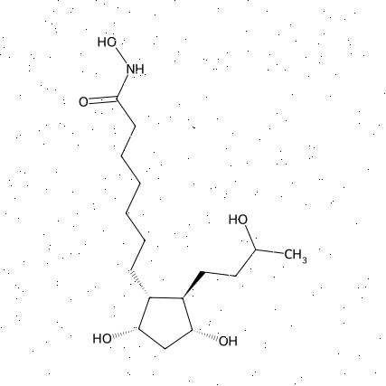 CC(O)CC[C@@H]1[C@@H](CCCCCCC(=O)NO)[C@@H](O)C[C@H]1O